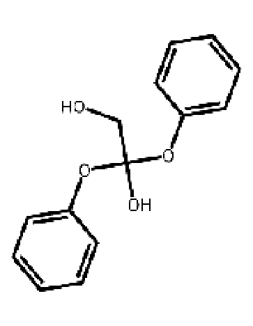 OCC(O)(Oc1ccccc1)Oc1ccccc1